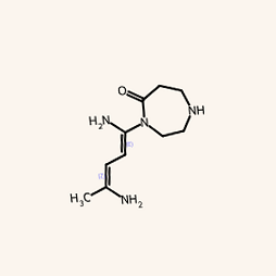 C/C(N)=C/C=C(\N)N1CCNCCC1=O